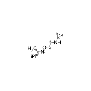 C/C(=N\OCCNC1CC1)C(C)C